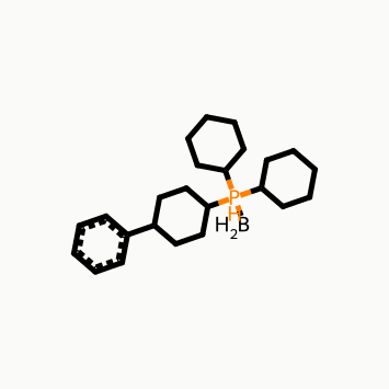 B[PH](C1CCCCC1)(C1CCCCC1)C1CCC(c2ccccc2)CC1